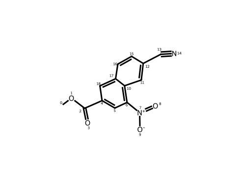 COC(=O)c1cc([N+](=O)[O-])c2cc(C#N)ccc2c1